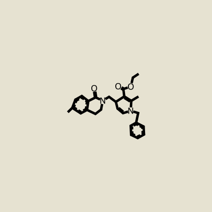 CCOC(=O)C1=C(C)N(Cc2ccccc2)C=CC1CN1CCc2cc(C)ccc2C1=O